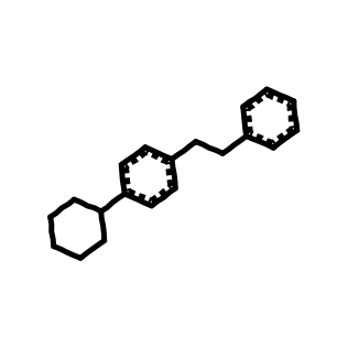 c1ccc(CCc2ccc(C3CCCCC3)cc2)cc1